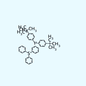 C.CC(C)(C)c1ccc([I+]c2ccc(C(C)(C)C)cc2)cc1.c1ccc([S+](c2ccccc2)c2ccccc2)cc1